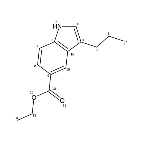 [CH2]CCc1c[nH]c2ccc(C(=O)OCC)cc12